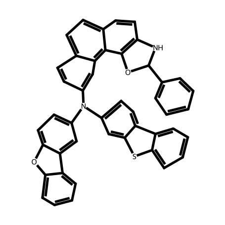 c1ccc(C2Nc3ccc4ccc5ccc(N(c6ccc7c(c6)sc6ccccc67)c6ccc7oc8ccccc8c7c6)cc5c4c3O2)cc1